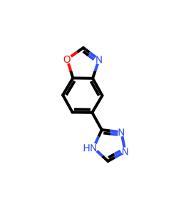 c1nnc(-c2ccc3ocnc3c2)[nH]1